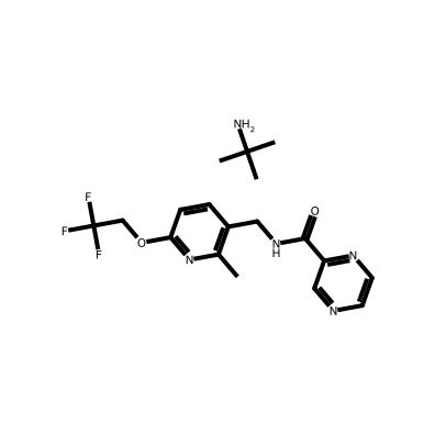 CC(C)(C)N.Cc1nc(OCC(F)(F)F)ccc1CNC(=O)c1cnccn1